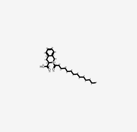 CCCCCCCCCCCCCC(=O)N1Cc2ccccc2CC1C(=O)O